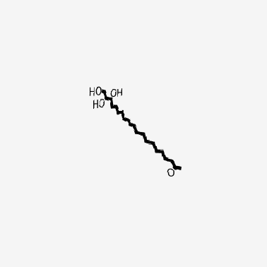 CC(=O)CCCCCCCCCCCCCCCCC(O)C(O)CO